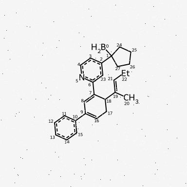 BC1(c2ccnc(C3=CC(c4ccccc4)=CCC3C(C)=CCC)c2)CCCC1